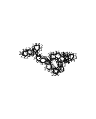 C1=CC2c3cc4ccc(-n5c6ccccc6c6cc7ccccc7cc65)cc4cc3N(c3ccc4ccc(-c5nc6ccccc6nc5-c5ccc6c(c5)oc5ccccc56)cc4c3)C2C=C1